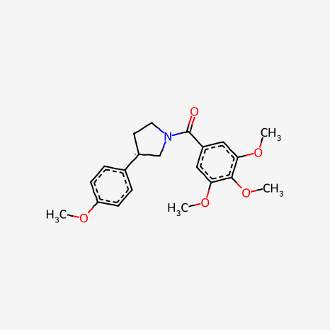 COc1ccc([C]2CCN(C(=O)c3cc(OC)c(OC)c(OC)c3)C2)cc1